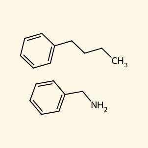 CCCCc1ccccc1.NCc1ccccc1